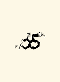 C=Cc1cccc(CC)c1C(=O)O